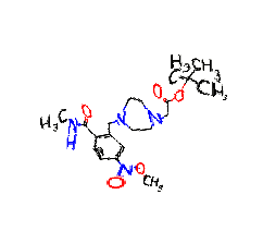 CNC(=O)c1ccc([N+](=O)OC)cc1CN1CCN(CC(=O)OC(C)(C)C)CC1